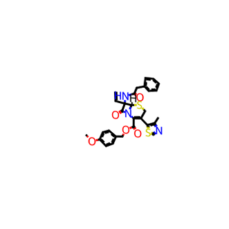 C=CC1(NC(=O)Cc2ccccc2)C(=O)N2C(C(=O)OCc3ccc(OC)cc3)=C(c3scnc3C)CS[C@H]21